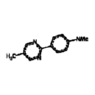 CNc1ccc(-c2ncc(C)cn2)cc1